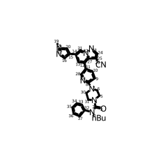 CCCCN(C(=O)N1CCN(c2ccc(-c3cc(-c4cnn(C)c4)cn4ncc(C#N)c34)cn2)CC1)c1ccccc1